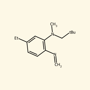 C=Nc1ccc(CC)cc1N(C)CC(C)(C)C